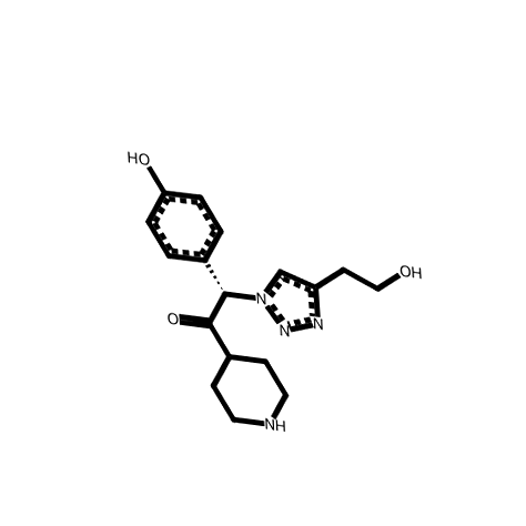 O=C(C1CCNCC1)[C@H](c1ccc(O)cc1)n1cc(CCO)nn1